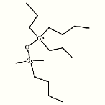 CCC[CH2][Ge]([CH3])([CH3])[O][Ge]([CH2]CC)([CH2]CC)[CH2]CCC